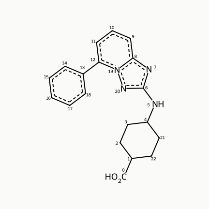 O=C(O)C1CCC(Nc2nc3cccc(-c4ccccc4)n3n2)CC1